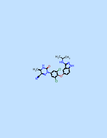 C=C1NC(=O)N(c2cc(Cl)c(Oc3ccc4[nH]nc(NC(C)C)c4c3)c(Cl)c2)N=C1C#N